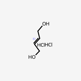 Cl.Cl.OC/C=C/CO